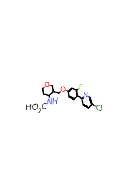 O=C(O)NC1CCOCC1COc1ccc(-c2ccc(Cl)cn2)c(F)c1